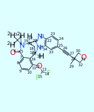 [2H]C([2H])([2H])N1C(=O)c2cccc(OC(F)F)c2[C@H]2C[C@@H]1c1nc3ccc(C#CC4(C)COC4)cc3n12